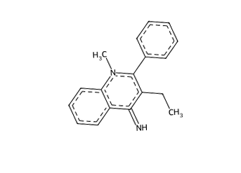 CCc1c(-c2ccccc2)n(C)c2ccccc2c1=N